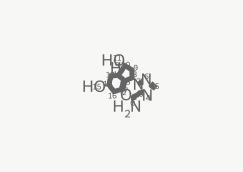 NC(=O)c1ncnn1[C@H]1C[C@H](O)[C@H]2C[C@@H](O)CC=C21